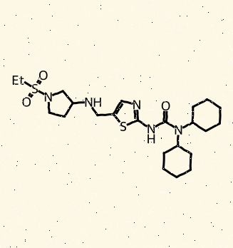 CCS(=O)(=O)N1CCC(NCc2cnc(NC(=O)N(C3CCCCC3)C3CCCCC3)s2)C1